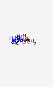 C#Cc1c(-c2cnc3ccccc3c2)c2c(N)ncnc2n1C12CCC(NC(=O)[C@@H]3CN(C)CCO3)(CC1)C2